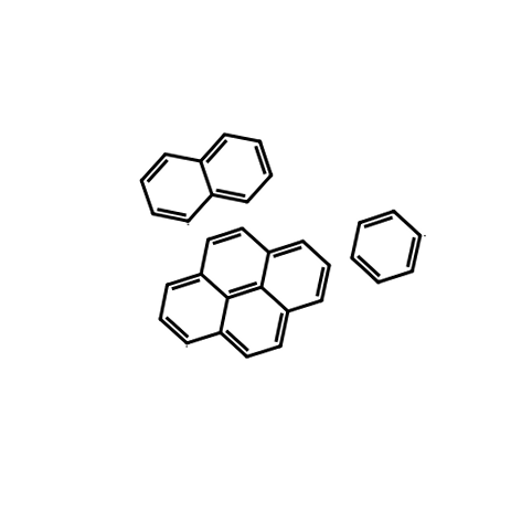 [c]1ccc2ccc3cccc4ccc1c2c43.[c]1cccc2ccccc12.[c]1ccccc1